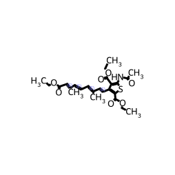 CCOC(=O)/C=C(C)/C=C/C=C(C)/C=C/c1c(C(=O)OCC)sc(NC(C)=O)c1C(=O)OCC